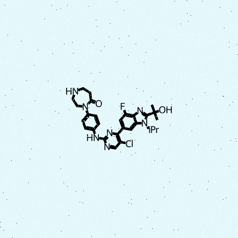 CC(C)n1c(C(C)(C)O)nc2c(F)cc(-c3nc(Nc4ccc(N5CCNCCC5=O)cc4)ncc3Cl)cc21